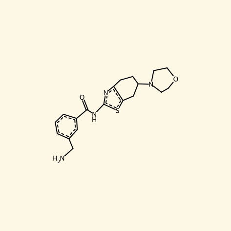 NCc1cccc(C(=O)Nc2nc3c(s2)CC(N2CCOCC2)CC3)c1